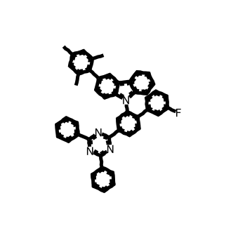 Cc1cc(C)c(-c2ccc3c(c2)c2ccccc2n3-c2cc(-c3nc(-c4ccccc4)nc(-c4ccccc4)n3)ccc2-c2cccc(F)c2)c(C)c1